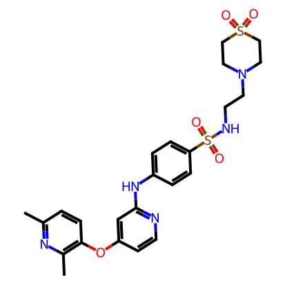 Cc1ccc(Oc2ccnc(Nc3ccc(S(=O)(=O)NCCN4CCS(=O)(=O)CC4)cc3)c2)c(C)n1